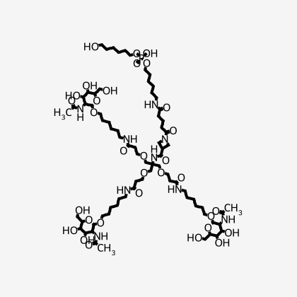 CC(=O)NC1C(OCCCCCCNC(=O)CCOCC(COCCC(=O)NCCCCCCOC2OC(CO)C(O)C(O)C2NC(C)=O)(COCCC(=O)NCCCCCCOC2OC(CO)C(O)C(O)C2NC(C)=O)NC(=O)C2CN(C(=O)CCCC(=O)NCCCCCCOP(=O)(O)OCCCCCCO)C2)OC(CO)C(O)C1O